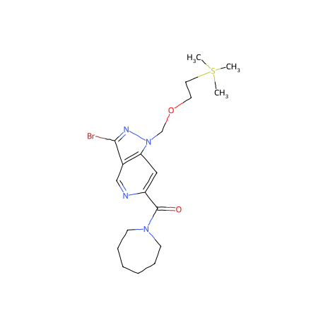 CS(C)(C)CCOCn1nc(Br)c2cnc(C(=O)N3CCCCCC3)cc21